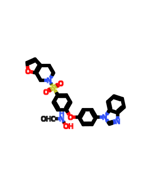 O=CNO.O=S(=O)(c1ccc(Oc2ccc(-n3cnc4ccccc43)cc2)cc1)N1CCc2ccoc2C1